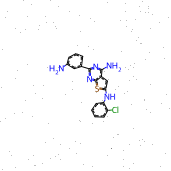 Nc1cccc(-c2nc(N)c3cc(Nc4ccccc4Cl)sc3n2)c1